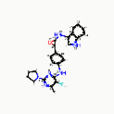 Cc1nc(N2CCCC2)nc(Nc2ccc(C3OC3Nc3c[nH]c4ccccc34)cc2)c1F